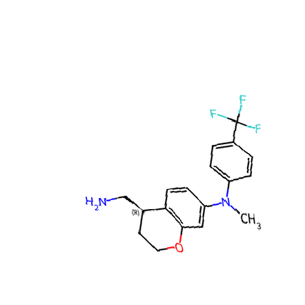 CN(c1ccc(C(F)(F)F)cc1)c1ccc2c(c1)OCC[C@H]2CN